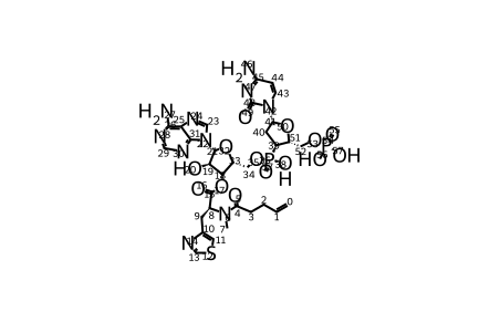 C=CCCC(=O)N(C)[C@@H](Cc1cscn1)C(=O)O[C@H]1[C@@H](O)[C@H](n2cnc3c(N)ncnc32)O[C@@H]1COP(=O)(O)[C@H]1C[C@H](n2ccc(N)nc2=O)O[C@@H]1COP(=O)(O)O